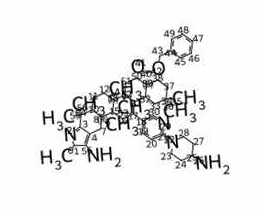 CC1N=C2C(=C1N)C[C@@]1(C)C(CC[C@]3(C)C1CC(c1ccc(N4CCC(N)CC4)nc1)=C1C4CC(C)(C)CC[C@]4(C(=O)OCc4ccccc4)CC[C@]13C)C2(C)C